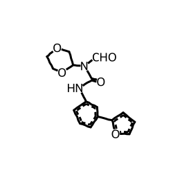 O=CN(C(=O)Nc1cccc(-c2ccco2)c1)C1COCCO1